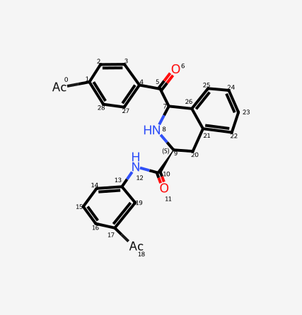 CC(=O)c1ccc(C(=O)C2N[C@H](C(=O)Nc3cccc(C(C)=O)c3)Cc3ccccc32)cc1